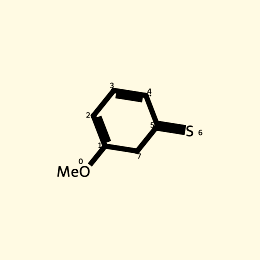 COC1=CC=[C]C(=S)C1